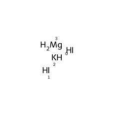 I.I.[KH].[MgH2]